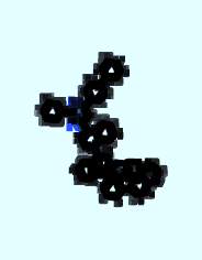 CC1(C)c2c(cccc2-c2ccc(-c3ccc(-c4cc(-c5ccc(-c6ccccc6)cc5)nc(-c5ccccc5)n4)c4ccccc34)c3ccccc23)-c2ccc3ccccc3c21